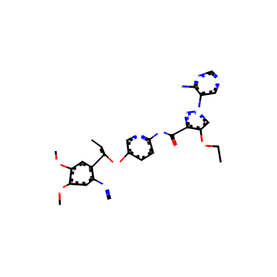 C=Nc1cc(OC)c(OC)cc1/C(=C\C)Oc1ccc(NC(=O)c2nn(-c3cncnc3N)cc2OCC)nc1